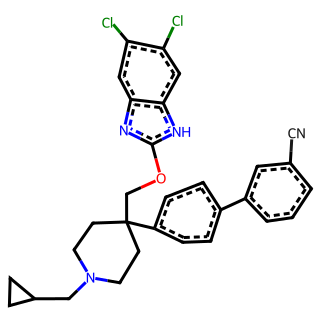 N#Cc1cccc(-c2ccc(C3(COc4nc5cc(Cl)c(Cl)cc5[nH]4)CCN(CC4CC4)CC3)cc2)c1